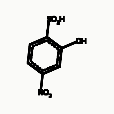 O=[N+]([O-])c1ccc(S(=O)(=O)O)c(O)c1